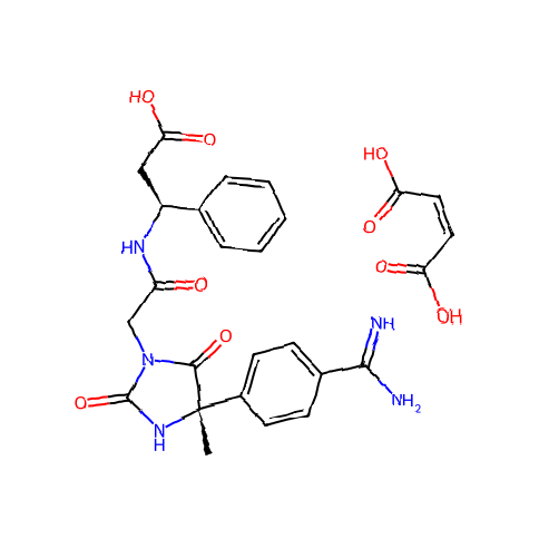 C[C@@]1(c2ccc(C(=N)N)cc2)NC(=O)N(CC(=O)N[C@@H](CC(=O)O)c2ccccc2)C1=O.O=C(O)/C=C\C(=O)O